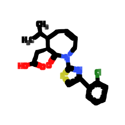 CC(C)[C@H]1C/C=C\CN(c2nc(-c3ccccc3Cl)cs2)C(=O)[C@H]1CC(=O)O